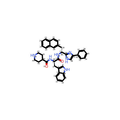 O=C(N[C@H](Cc1c[nH]c2ccccc12)C(=O)N[C@H](Cc1ccc2ccccc2c1)c1nc(-c2ccccc2)c[nH]1)C1CCNCC1